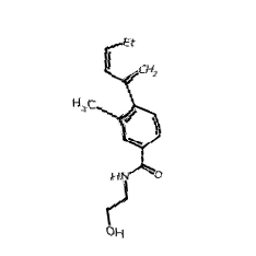 C=C(/C=C\CC)c1ccc(C(=O)NCCO)cc1C